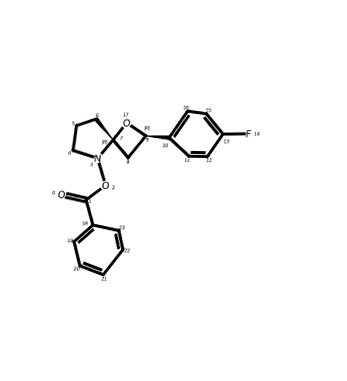 O=C(ON1CCC[C@@]12C[C@H](c1ccc(F)cc1)O2)c1ccccc1